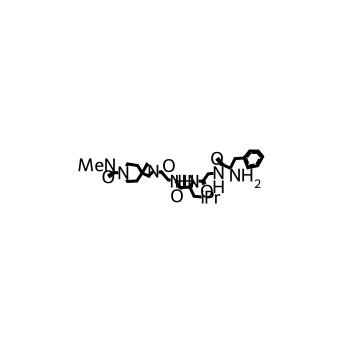 CNC(=O)N1CCC2(CC1)CN(C(=O)CNC(=O)C(CC(C)C)NC(=O)CNC(=O)C(N)Cc1ccccc1)C2